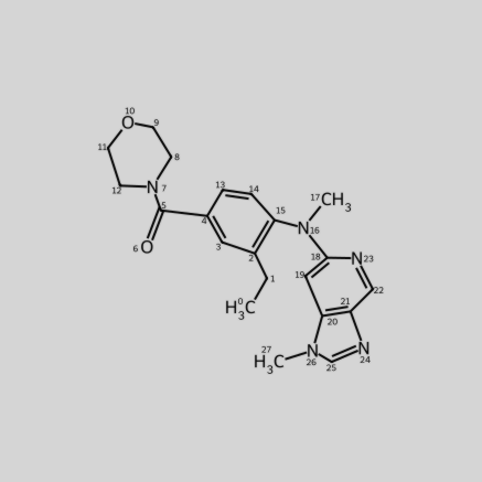 CCc1cc(C(=O)N2CCOCC2)ccc1N(C)c1cc2c(cn1)ncn2C